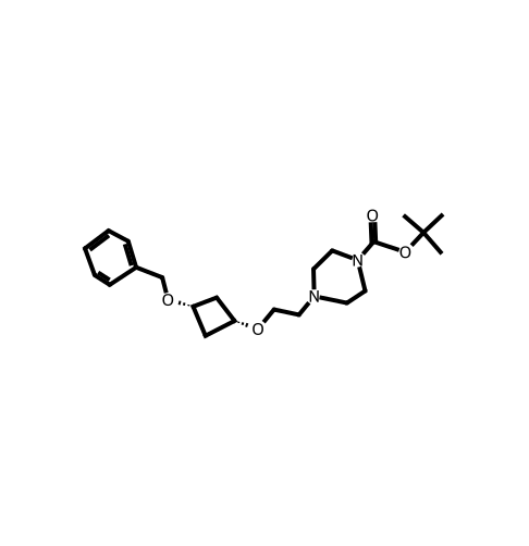 CC(C)(C)OC(=O)N1CCN(CCO[C@H]2C[C@@H](OCc3ccccc3)C2)CC1